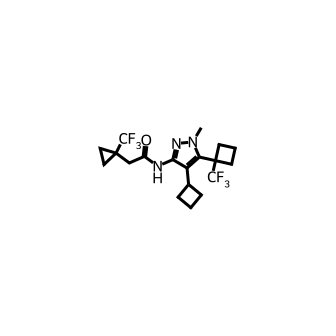 Cn1nc(NC(=O)CC2(C(F)(F)F)CC2)c(C2CCC2)c1C1(C(F)(F)F)CCC1